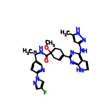 COC1(C(=O)N[C@@H](C)c2ccc(-n3cc(F)cn3)nc2)CC=C(c2nc(Nc3cc(C)[nH]n3)c3cc[nH]c3n2)CC1